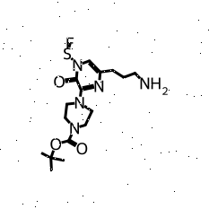 CC(C)(C)OC(=O)N1CCN(c2nc(CCCN)cn(SF)c2=O)CC1